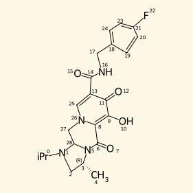 CC(C)N1C[C@@H](C)N2C(=O)c3c(O)c(=O)c(C(=O)NCc4ccc(F)cc4)cn3CC12